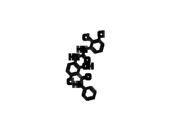 O=C(Nc1ccc(Cl)c(C(=O)Nc2ccccc2)c1O)Nc1cccc(Cl)c1Cl